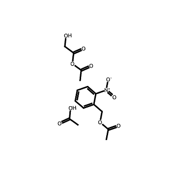 CC(=O)O.CC(=O)OC(=O)CO.CC(=O)OCc1ccccc1[N+](=O)[O-]